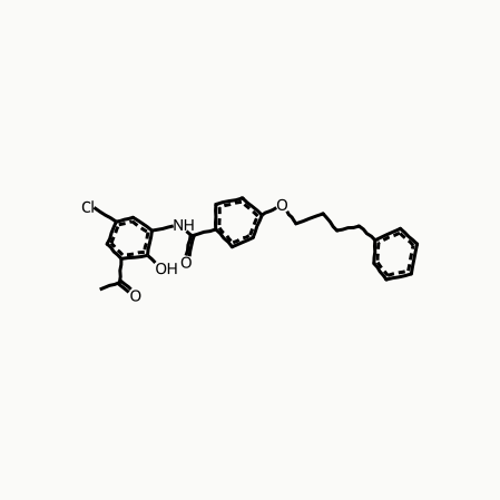 CC(=O)c1cc(Cl)cc(NC(=O)c2ccc(OCCCCc3ccccc3)cc2)c1O